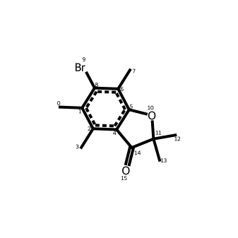 Cc1c(C)c2c(c(C)c1Br)OC(C)(C)C2=O